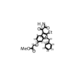 CCc1c(C(=O)C(N)=O)c2ccc(OCC(=O)OC)cc2n1Cc1ccccc1